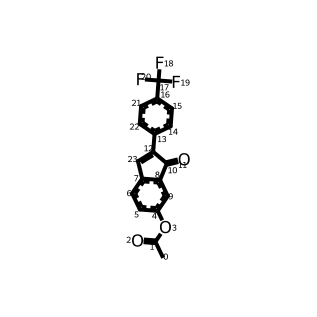 CC(=O)Oc1ccc2c(c1)C(=O)C(c1ccc(C(F)(F)F)cc1)=C2